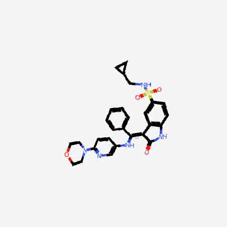 O=C1Nc2ccc(S(=O)(=O)NCC3CC3)cc2/C1=C(/Nc1ccc(N2CCOCC2)nc1)c1ccccc1